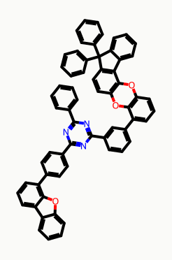 c1ccc(-c2nc(-c3ccc(-c4cccc5c4oc4ccccc45)cc3)nc(-c3cccc(-c4cccc5c4Oc4ccc6c(c4O5)-c4ccccc4C6(c4ccccc4)c4ccccc4)c3)n2)cc1